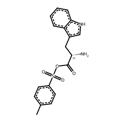 Cc1ccc(S(=O)(=O)OC(=O)[C@@H](N)Cc2c[nH]c3ccccc23)cc1